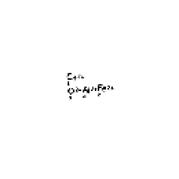 [Al+3].[Ca+2].[Fe+2].[O-2]